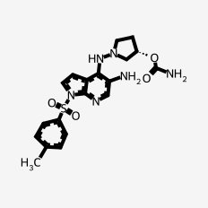 Cc1ccc(S(=O)(=O)n2ccc3c(NN4CC[C@H](OC(N)=O)C4)c(N)cnc32)cc1